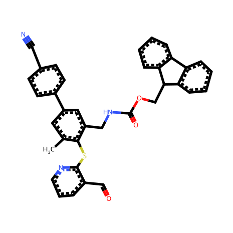 Cc1cc(-c2ccc(C#N)cc2)cc(CNC(=O)OCC2c3ccccc3-c3ccccc32)c1Sc1ncccc1C=O